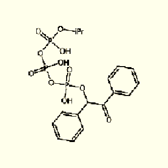 CC(C)OP(=O)(O)OP(=O)(O)OP(=O)(O)OC(C(=O)c1ccccc1)c1ccccc1